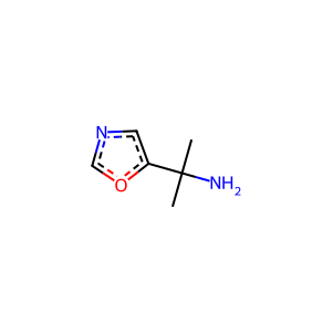 CC(C)(N)c1cnco1